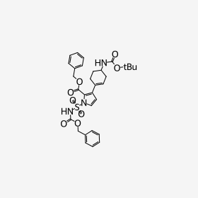 CC(C)(C)OC(=O)NC1CC=C(c2ccn(S(=O)(=O)NC(=O)OCc3ccccc3)c2C(=O)OCc2ccccc2)CC1